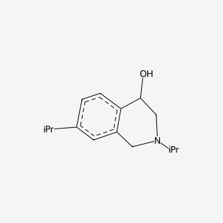 CC(C)c1ccc2c(c1)CN(C(C)C)CC2O